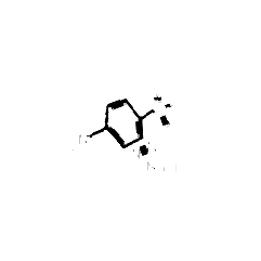 N#N.Nc1ccc(S(=O)(=O)O)cc1.[NaH]